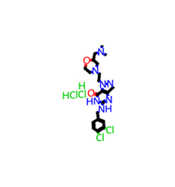 CN(C)CC1CN(CCn2ncc3nc(NCc4ccc(Cl)c(Cl)c4)[nH]c(=O)c32)CCO1.Cl.Cl